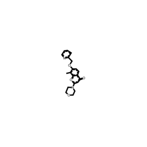 Cc1c(OCc2ccccn2)ccc2c(=O)cc(N3CCOCC3)oc12